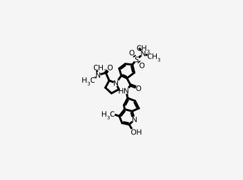 Cc1cc(O)nc2ccc(NC(=O)c3cc(S(=O)(=O)N(C)C)ccc3N3CCCC3C(=O)N(C)C)cc12